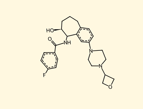 O=C(NC1c2cc(N3CCN(C4COC4)CC3)ccc2CCC[C@@H]1O)c1ccc(F)cc1